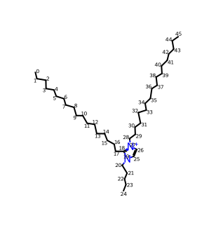 CCCCCCCCCCCCCCCCCCc1n(CCCCC)cc[n+]1CCCCCCCCCCCCCCCCCC